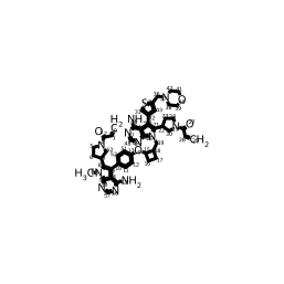 C=CC(=O)N1CCC(c2c(-c3ccc(OC4CCC4Cn4c(C5CCN(C(=O)C=C)C5)c(-c5csc(CN6CCOCC6)c5)c5c(N)ncnc54)cc3)c3c(N)ncnc3n2C)C1